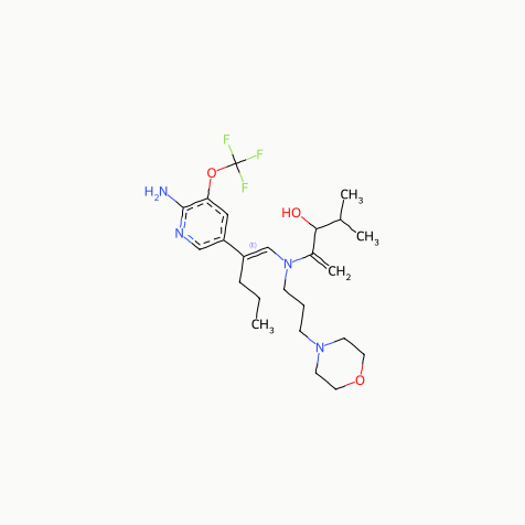 C=C(C(O)C(C)C)N(/C=C(\CCC)c1cnc(N)c(OC(F)(F)F)c1)CCCN1CCOCC1